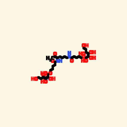 CC(=O)[C@@H](CCCCNC(=O)CCCCOC(O)/C(O)=C(/O)C(O)CCO)NC(=O)CCCCOC(O)/C(O)=C(/O)[C@@H](O)CCO